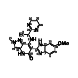 CCC(Nc1c(-c2nc3ccc(OC)cc3[nH]2)c(=O)[nH]c2cn(C)nc12)c1ncccn1